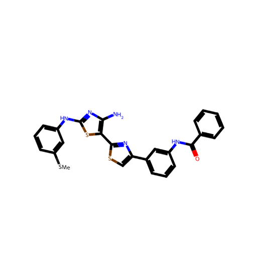 CSc1cccc(Nc2nc(N)c(-c3nc(-c4cccc(NC(=O)c5ccccc5)c4)cs3)s2)c1